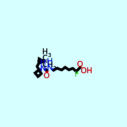 CC1(C)CC1CC1(NC(=O)NCCCCCCC(F)C(=O)O)CCC1